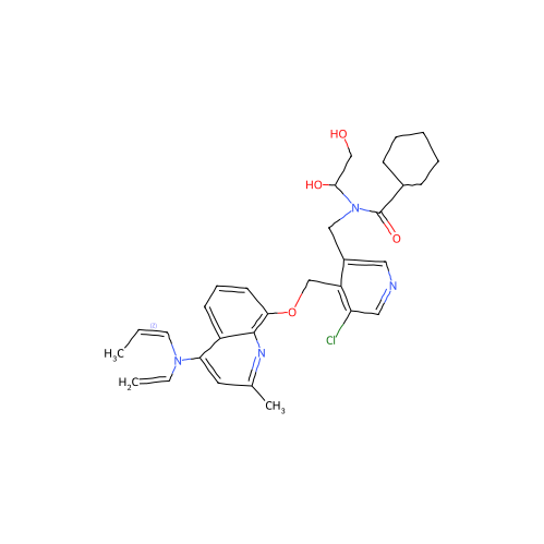 C=CN(/C=C\C)c1cc(C)nc2c(OCc3c(Cl)cncc3CN(C(=O)C3CCCCC3)C(O)CO)cccc12